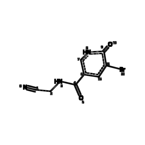 N#CCNC(=O)c1c[nH]c(=O)c(Br)c1